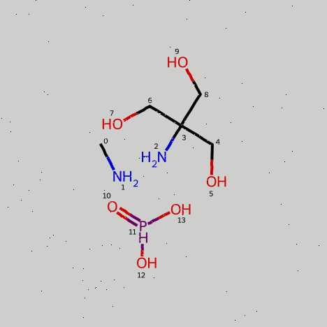 CN.NC(CO)(CO)CO.O=[PH](O)O